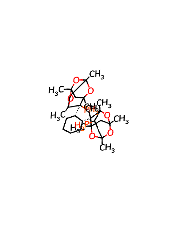 CC12CC3(C)OC(C)(CC(C)(O1)C3(P)[C@H]1CCCC[C@H]1C1(C)C3(C)CC4(C)OC(C)(O3)C(P)C1(C)O4)O2